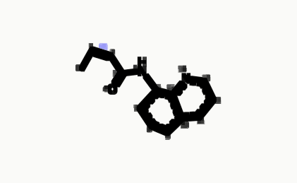 C/C=C\C(=O)Nc1cccc2cccnc12